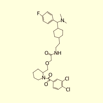 CN(C)C(c1ccc(F)cc1)C1CCC(CCNC(=O)COCC2CCCCN2S(=O)(=O)c2ccc(Cl)c(Cl)c2)CC1